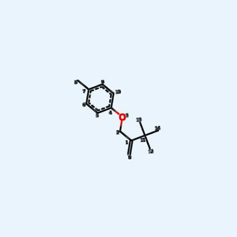 C=C(COc1ccc(C)cc1)C(C)(C)C